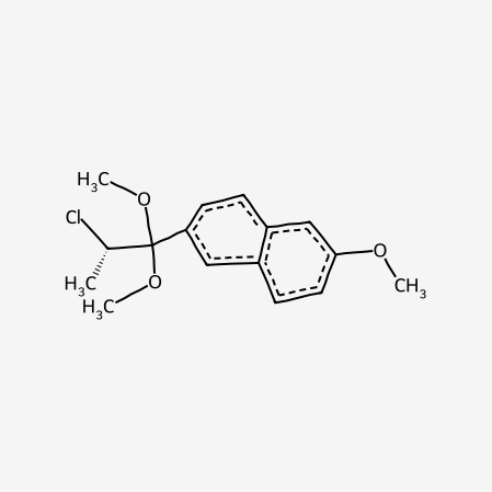 COc1ccc2cc(C(OC)(OC)[C@H](C)Cl)ccc2c1